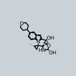 C[C@H]1C[C@]1(C1=NOC(O)N1)n1c(C(=O)O)cc2cc(C3CCOCC3)ccc21